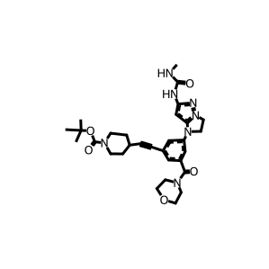 CNC(=O)Nc1cc2n(n1)CCN2c1cc(C#CC2CCN(C(=O)OC(C)(C)C)CC2)cc(C(=O)N2CCOCC2)c1